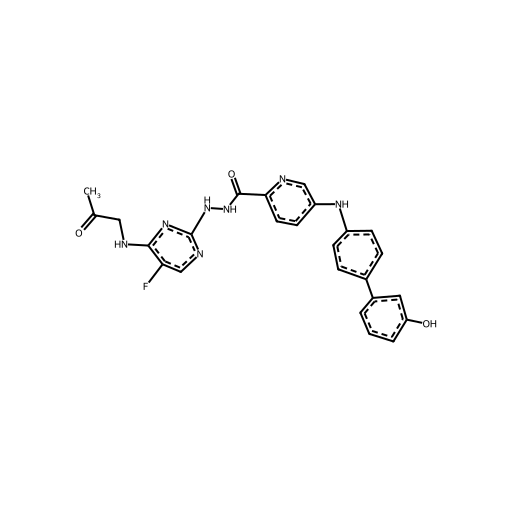 CC(=O)CNc1nc(NNC(=O)c2ccc(Nc3ccc(-c4cccc(O)c4)cc3)cn2)ncc1F